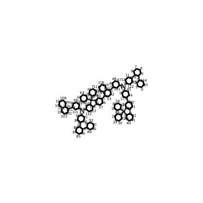 c1ccc(-c2ccccc2-c2ccc(N(c3ccc(-c4ccc5c(c4)C(c4ccccc4)(c4ccccc4)c4ccccc4-5)cc3)c3cccc(-c4ccc(-c5ccc6c(c5)C(c5ccccc5)(c5ccccc5)c5cc(N(c7ccc(-c8ccccc8-c8ccccc8)cc7)c7cccc(-c8cccc9ccccc89)c7)ccc5-6)c5ccccc45)c3)cc2)cc1